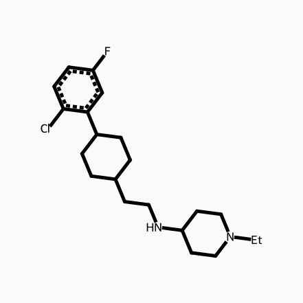 CCN1CCC(NCCC2CCC(c3cc(F)ccc3Cl)CC2)CC1